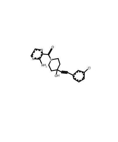 Nc1nccnc1C(=O)N1CCC(O)(C#Cc2cccc(Cl)c2)CC1